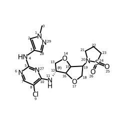 Cn1cc(Nc2ncc(Cl)c(N[C@@H]3COC4C3OCC4N3CCCS3(=O)=O)n2)cn1